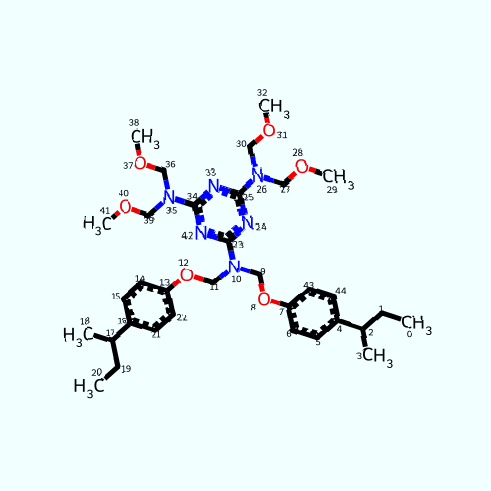 CCC(C)c1ccc(OCN(COc2ccc(C(C)CC)cc2)c2nc(N(COC)COC)nc(N(COC)COC)n2)cc1